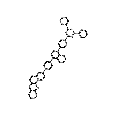 c1ccc(-c2nc(-c3ccccc3)nc(-c3ccc(-c4ccc(-c5ccc(-c6cnc7c(ccc8cc9ccccc9nc87)c6)cc5)c5ccccc45)cc3)n2)cc1